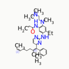 C=CC(=O)Nc1cc(Nc2nccc(/C(=C(/C)CCC/C=C\C)c3ccccc3C)n2)c(CC)cc1N(C)CCN(C)C